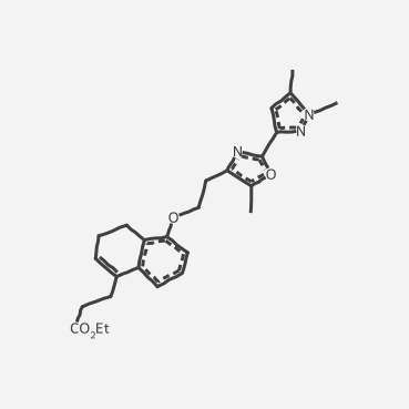 CCOC(=O)CCC1=CCCc2c(OCCc3nc(-c4cc(C)n(C)n4)oc3C)cccc21